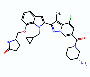 Cc1c(-c2cc3cccc(OC[C@H]4CCC(=O)N4)c3n2CC2CC2)nn2cc(C(=O)N3CCC[C@@H](N)C3)cc(F)c12